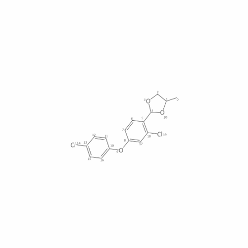 CC1COC(c2ccc(Oc3ccc(Cl)cc3)cc2Cl)O1